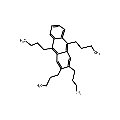 CCCCc1cc2c(CCCC)c3ccccc3c(CCCC)c2cc1CCCC